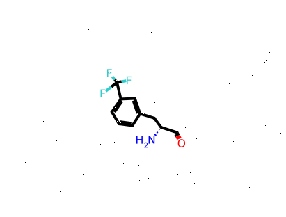 N[C@@H](C=O)Cc1cccc(C(F)(F)F)c1